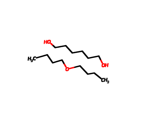 CCCCOCCCC.OCCCCCCO